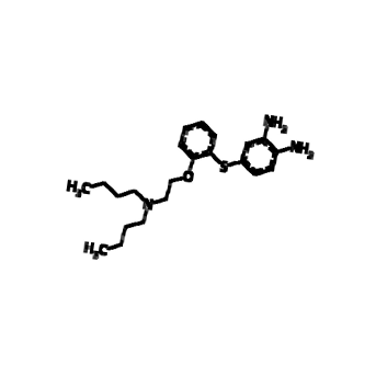 CCCCN(CCCC)CCOc1ccccc1Sc1ccc(N)c(N)c1